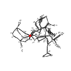 N#Cc1cc(C(=O)O)cc2sc(N3[C@@H]4CC[C@H]3CC(OCc3c(-c5c(F)cccc5F)noc3C3CC3)C4)nc12